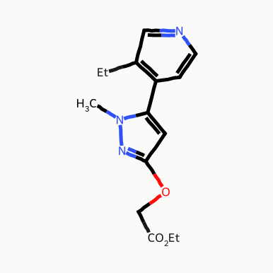 CCOC(=O)COc1cc(-c2ccncc2CC)n(C)n1